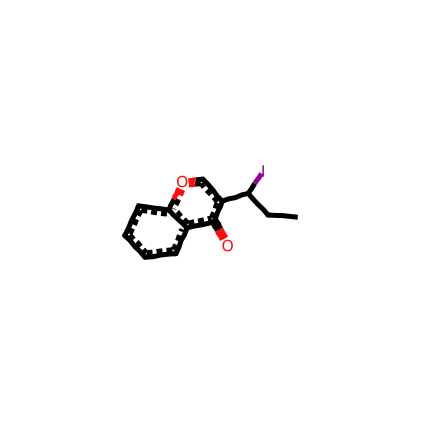 CCC(I)c1coc2ccccc2c1=O